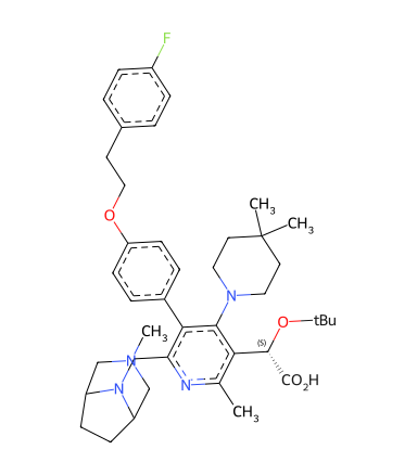 Cc1nc(CN2C3CCC2CN(C)C3)c(-c2ccc(OCCc3ccc(F)cc3)cc2)c(N2CCC(C)(C)CC2)c1[C@H](OC(C)(C)C)C(=O)O